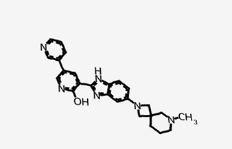 CN1CCCC2(C1)CN(c1ccc3[nH]c(-c4cc(-c5cccnc5)cnc4O)nc3c1)C2